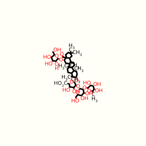 CC1OC(OC2C(OC3C(OC4CCC5(C)C(CCC6(C)C5CC=C5C7CC(C)(C)CCC7(C(=O)OC7OC(CO)C(O)C(O)C7O)CCC56C)C4(C)C)OC(C(=O)O)C(O)C3O)OC(CO)C(O)C2O)C(O)C(O)C1O